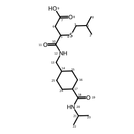 CC(C)CSC(CC(=O)O)C(=O)NCC1CCC(C(=O)NC(C)C)CC1